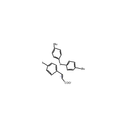 CC(C)(C)c1ccc([I+]c2ccc(C(C)(C)C)cc2)cc1.O=C([O-])/C=C/c1ccc(I)cc1